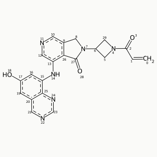 C=CC(=O)N1CC(N2Cc3cncc(Nc4cc(O)cc5cncnc45)c3C2=O)C1